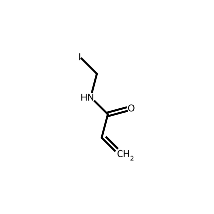 C=CC(=O)NCI